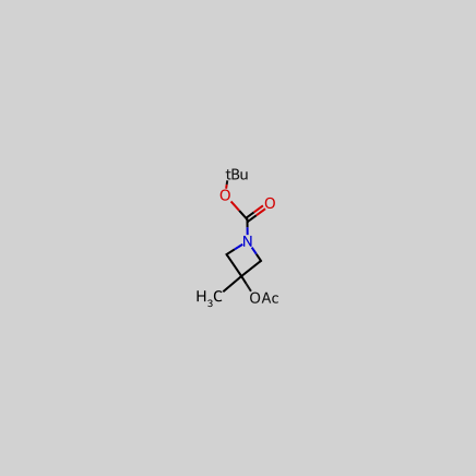 CC(=O)OC1(C)CN(C(=O)OC(C)(C)C)C1